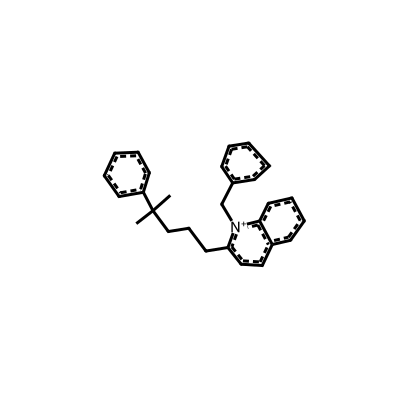 CC(C)(CCCc1ccc2ccccc2[n+]1Cc1ccccc1)c1ccccc1